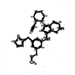 CSCc1cc(Cn2ccnn2)cc(Nc2nn([C@H]3CCCC[C@@H]3C#N)c3c2CNC=C3)c1